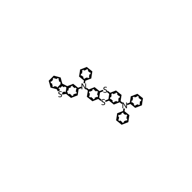 c1ccc(N(c2ccccc2)c2ccc3c(c2)Sc2ccc(N(c4ccccc4)c4ccc5sc6ccccc6c5c4)cc2S3)cc1